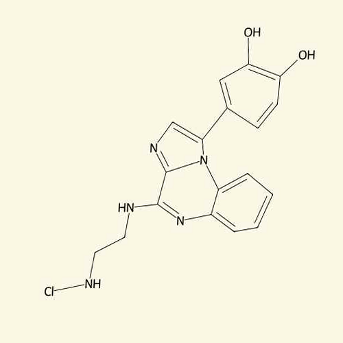 Oc1ccc(-c2cnc3c(NCCNCl)nc4ccccc4n23)cc1O